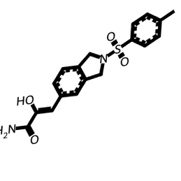 Cc1ccc(S(=O)(=O)N2Cc3ccc(C=C(O)C(N)=O)cc3C2)cc1